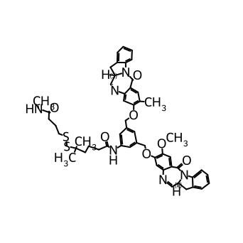 CNC(=O)CCCSSC(C)(C)CCCC(=O)Nc1cc(COc2cc3c(cc2C)C(=O)N2c4ccccc4C[C@H]2C=N3)cc(COc2cc3c(cc2OC)C(=O)N2c4ccccc4C[C@H]2C=N3)c1